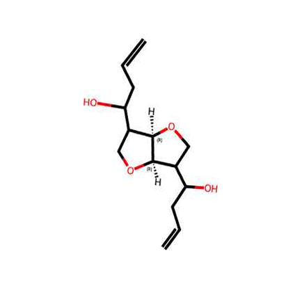 C=CCC(O)C1CO[C@@H]2C(C(O)CC=C)CO[C@H]12